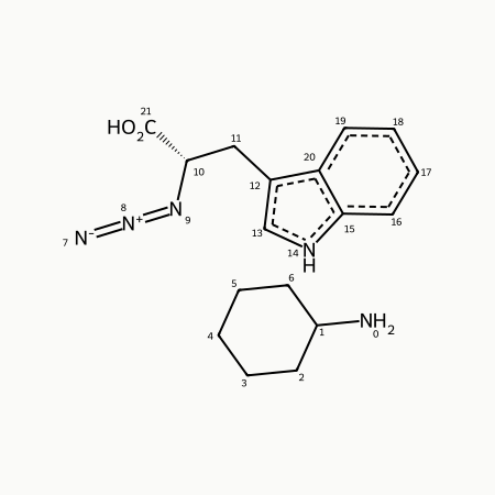 NC1CCCCC1.[N-]=[N+]=N[C@@H](Cc1c[nH]c2ccccc12)C(=O)O